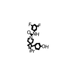 CC(C)N1CC2(CCN(C(=O)Nc3cc(F)cc(F)c3)CC2)C1c1ccc(O)cc1